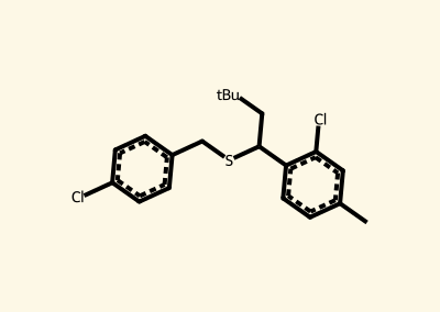 Cc1ccc(C(CC(C)(C)C)SCc2ccc(Cl)cc2)c(Cl)c1